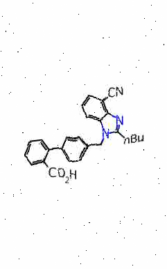 CCCCc1nc2c(C#N)cccc2n1Cc1ccc(-c2ccccc2C(=O)O)cc1